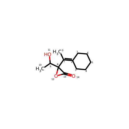 CC(=C1CCCCC1)C1(C(C)O)OC1=O